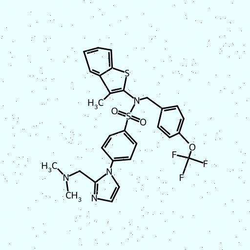 Cc1c(N(Cc2ccc(OC(F)(F)F)cc2)S(=O)(=O)c2ccc(-n3ccnc3CN(C)C)cc2)sc2ccccc12